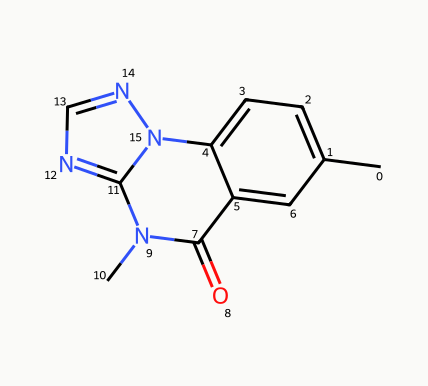 Cc1ccc2c(c1)c(=O)n(C)c1ncnn21